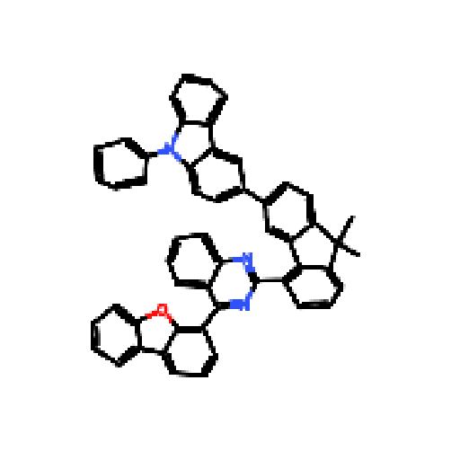 CC1(C)c2ccc(-c3ccc4c(c3)c3ccccc3n4-c3ccccc3)cc2-c2c(-c3nc(-c4cccc5c4oc4ccccc45)c4ccccc4n3)cccc21